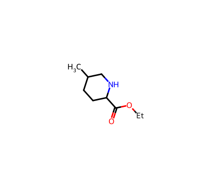 CCOC(=O)C1CCC(C)CN1